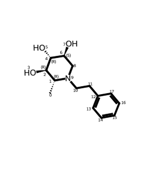 C[C@@H]1[C@@H](O)[C@H](O)[C@@H](O)CN1CCc1ccccc1